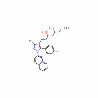 CCOC(=O)CC(O)CC(O)C=Cc1c(C(C)C)nn(-c2ccc3ccccc3n2)c1-c1ccc(F)cc1